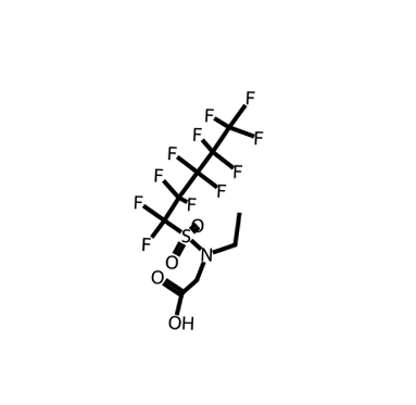 CCN(CC(=O)O)S(=O)(=O)C(F)(F)C(F)(F)C(F)(F)C(F)(F)C(F)(F)F